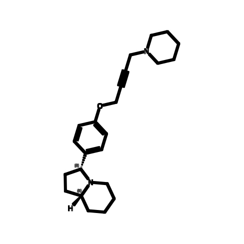 C(#CCN1CCCCC1)COc1ccc([C@H]2CC[C@H]3CCCCN32)cc1